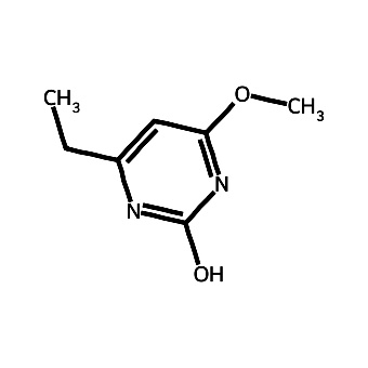 CCc1cc(OC)nc(O)n1